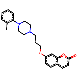 Cc1ccccc1N1CCN(CCCOc2ccc3ccc(=O)oc3c2)CC1